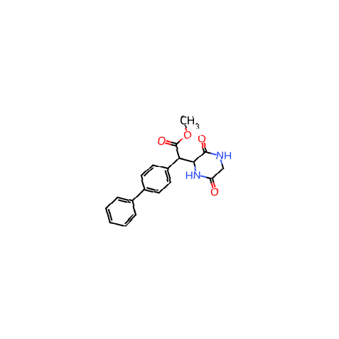 COC(=O)C(c1ccc(-c2ccccc2)cc1)C1NC(=O)CNC1=O